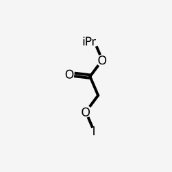 CC(C)OC(=O)COI